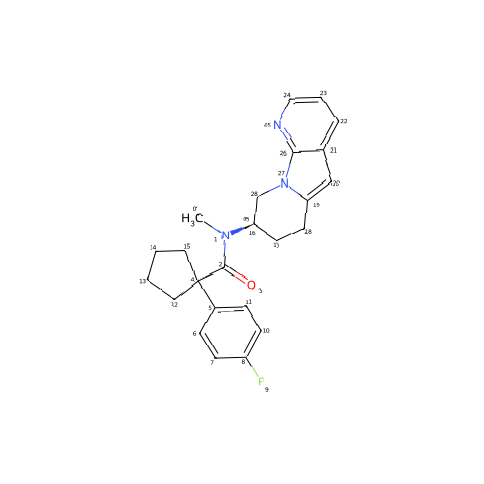 CN(C(=O)C1(c2ccc(F)cc2)CCCC1)[C@@H]1CCc2[c]c3cccnc3n2C1